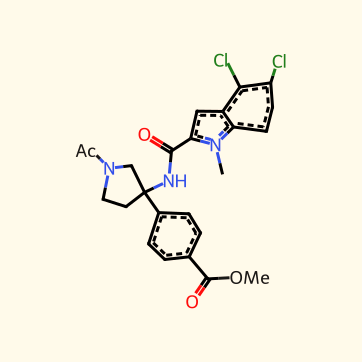 COC(=O)c1ccc(C2(NC(=O)c3cc4c(Cl)c(Cl)ccc4n3C)CCN(C(C)=O)C2)cc1